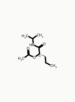 CCC[C@H](OC(C)=O)C(=O)NC(C)C